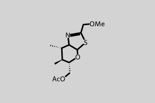 COCC1=NC2C(O[C@H](COC(C)=O)[C@@H](C)[C@@H]2C)S1